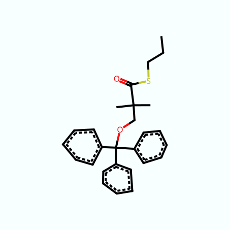 CCCSC(=O)C(C)(C)COC(c1ccccc1)(c1ccccc1)c1ccccc1